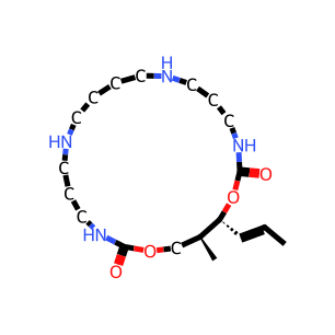 C/C=C/[C@H]1OC(=O)NCCCNCCCCNCCCNC(=O)OC[C@@H]1C